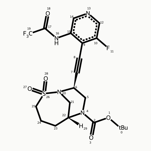 CC(C)(C)OC(=O)N1C[C@H](C#Cc2c(F)cncc2NC(=O)C(F)(F)F)N2C[C@H]1CCCS2(=O)=O